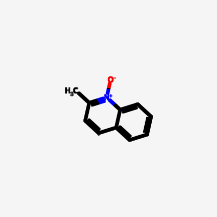 Cc1c[c]c2ccccc2[n+]1[O-]